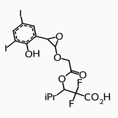 CC(C)C(OC(=O)COC1OC1c1cc(I)cc(I)c1O)C(F)(F)C(=O)O